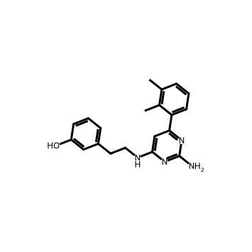 Cc1cccc(-c2cc(NCCc3cccc(O)c3)nc(N)n2)c1C